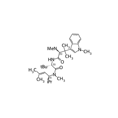 CN[C@H](C(=O)N[C@H](C(=O)N(C)[C@H](C=C(C)C)C(C)C)C(C)(C)C)C(C)(C)c1cn(C)c2ccccc12